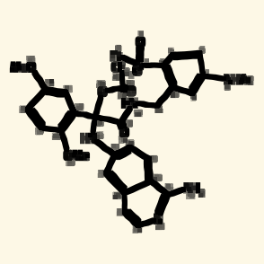 CCS(=O)(=O)c1ccc(NC(C)=O)cc1CNC(=O)C(Nc1ccc2c(N)nccc2c1)(OC(=O)C(F)(F)F)c1cc(OC)ccc1OC